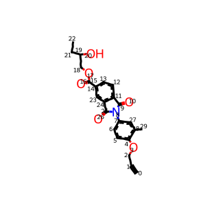 C#CCOc1ccc(N2C(=O)c3ccc(C(=O)OCC(O)CC)cc3C2=O)cc1C